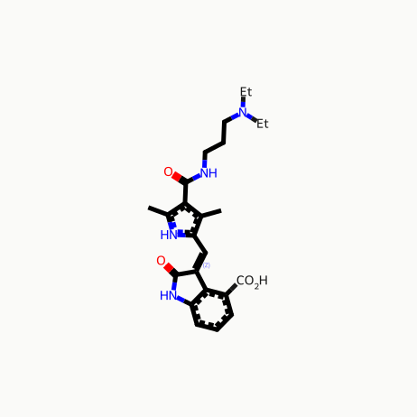 CCN(CC)CCCNC(=O)c1c(C)[nH]c(/C=C2\C(=O)Nc3cccc(C(=O)O)c32)c1C